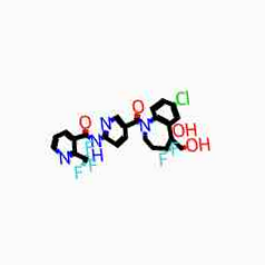 O=C(Nc1ccc(C(=O)N2CCC(F)(F)[C@](O)(CO)c3cc(Cl)ccc32)cn1)c1cccnc1C(F)(F)F